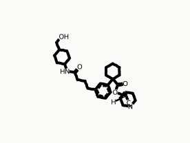 O=C(CCCc1cccc(C2(C(=O)O[C@H]3CN4CCC3CC4)CCCCC2)c1)NC1CCC(CO)CC1